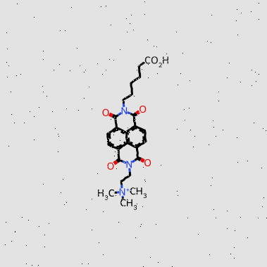 C[N+](C)(C)CCN1C(=O)c2ccc3c4c(ccc(c24)C1=O)C(=O)N(CCCCCC(=O)O)C3=O